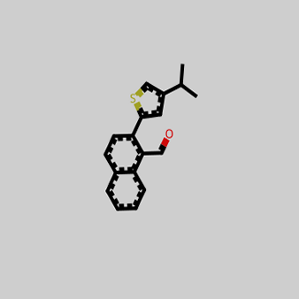 CC(C)c1csc(-c2ccc3ccccc3c2C=O)c1